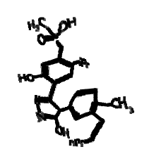 CCC/C=C\c1cc(C2C(O)=NN=C2c2cc(C(C)C)c(CP(C)(=O)O)cc2O)ccc1C